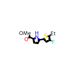 CCc1sc(-c2ccc(C(=O)OC)[nH]2)cc1F